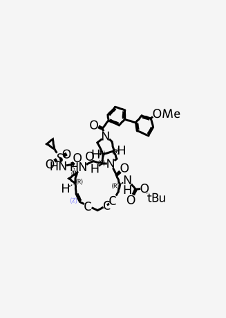 COc1cccc(-c2cccc(C(=O)N3C[C@H]4CN5C(=O)[C@H](NC(=O)OC(C)(C)C)CCCCC/C=C\[C@H]6C[C@@]6(C(=O)NS(=O)(=O)C6CC6)NC(=O)[C@@H]5[C@H]4C3)c2)c1